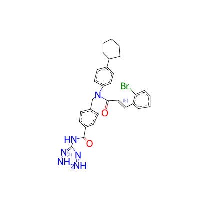 N=N/C(=N\N)NC(=O)c1ccc(CN(C(=O)/C=C/c2ccccc2Br)c2ccc(C3CCCCC3)cc2)cc1